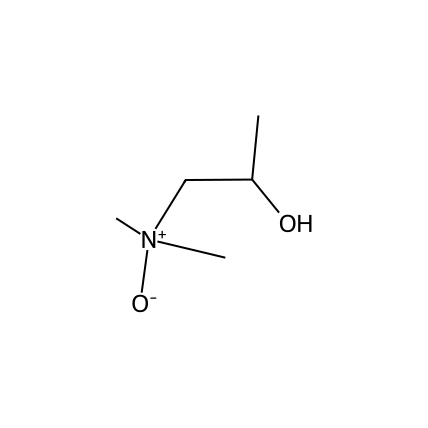 CC(O)C[N+](C)(C)[O-]